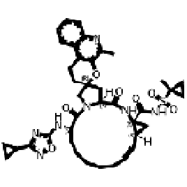 Cc1nc2ccccc2c2c1O[C@]1(CC2)C[C@H]2C(=O)N[C@]3(C(=O)NS(=O)(=O)C4(C)CC4)C[C@H]3C=CCCCCC[C@H](Nc3nc(C4CC4)no3)C(=O)N2C1